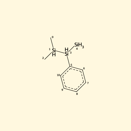 C[SiH](C)[SiH]([SiH3])c1ccccc1